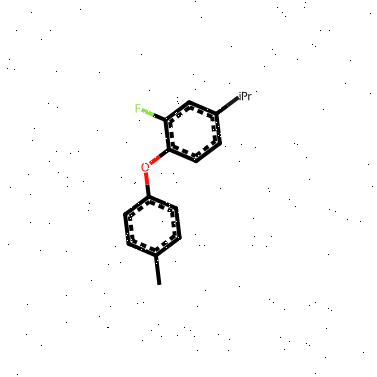 Cc1ccc(Oc2ccc(C(C)C)cc2F)cc1